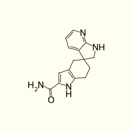 NC(=O)c1cc2c([nH]1)CCC1(CNc3ncccc31)C2